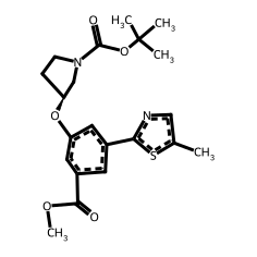 COC(=O)c1cc(O[C@H]2CCN(C(=O)OC(C)(C)C)C2)cc(-c2ncc(C)s2)c1